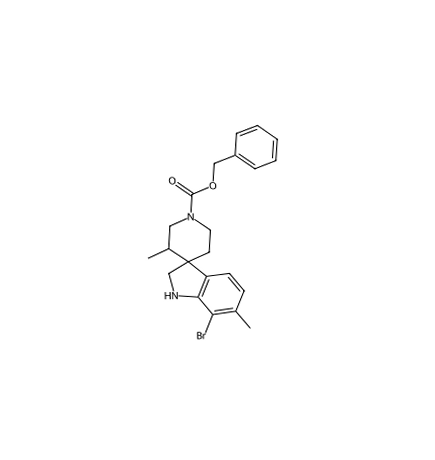 Cc1ccc2c(c1Br)NCC21CCN(C(=O)OCc2ccccc2)CC1C